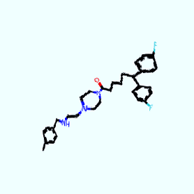 Cc1ccc(CNCCN2CCN(C(=O)CCCCC(c3ccc(F)cc3)c3ccc(F)cc3)CC2)cc1